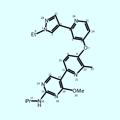 CCn1cc(-c2cc(Oc3ccc(-c4cnc(NC(C)C)nc4OC)nc3C)ccn2)cn1